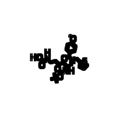 COc1ccc(C(=O)N(Cc2cccs2)C[C@H](CCCCNC(=O)O)NC(=O)OC(C)(C)C)cc1